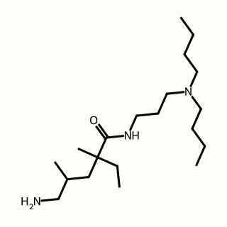 CCCCN(CCCC)CCCNC(=O)C(C)(CC)CC(C)CN